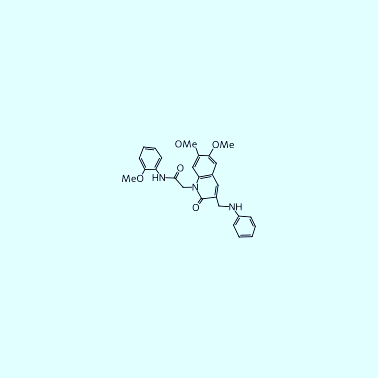 COc1ccccc1NC(=O)Cn1c(=O)c(CNc2ccccc2)cc2cc(OC)c(OC)cc21